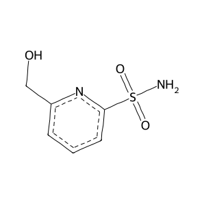 NS(=O)(=O)c1cccc(CO)n1